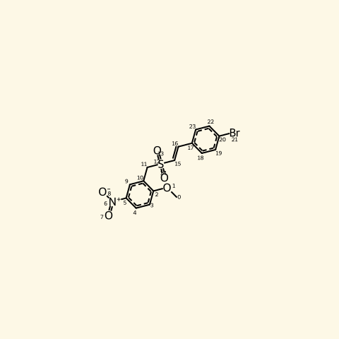 COc1ccc([N+](=O)[O-])cc1CS(=O)(=O)/C=C/c1ccc(Br)cc1